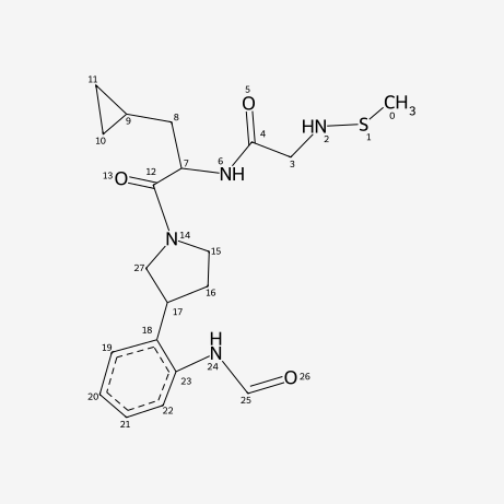 CSNCC(=O)NC(CC1CC1)C(=O)N1CCC(c2ccccc2NC=O)C1